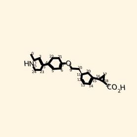 CC1C=C(C2=CC=C(OCC[C@@H]3C=CC=C(C4CC4C(=O)O)C3)CC2)CCN1